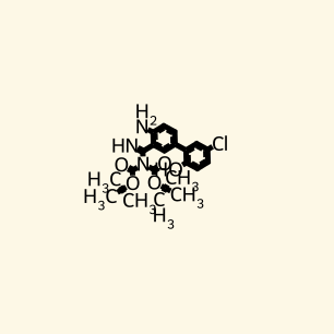 CC(C)(C)OC(=O)N(C(=N)c1cc(-c2cc(Cl)ccc2O)ccc1N)C(=O)OC(C)(C)C